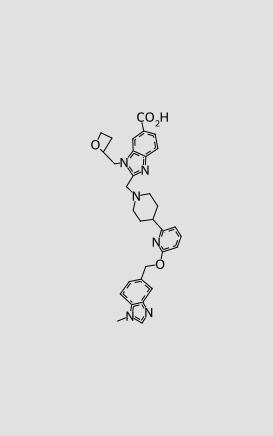 Cn1cnc2cc(COc3cccc(C4CCN(Cc5nc6ccc(C(=O)O)cc6n5CC5CCO5)CC4)n3)ccc21